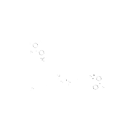 CN1Cc2c(Cl)cc(Cl)cc2[C@H](c2cccc(S(=O)(=O)NCCOCCOCCNC(=O)CN(CCOCCOCCOCCN)CC(=O)NCCOCCOCCNS(=O)(=O)c3cccc([C@@H]4CN(C)Cc5c(Cl)cc(Cl)cc54)c3)c2)C1